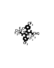 CC(c1nc(-c2ccc(C(F)(F)F)cc2C(F)(F)F)c(C(C)C(C=O)C(F)(F)F)nc1-c1ccc(C(F)(F)F)cc1C(F)(F)F)C(C=O)C(F)(F)F